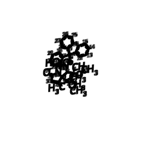 CCC[C@](C)(OC)[C@H](NSC(c1ccccc1)(c1ccccc1)c1ccccc1)[C@]1(C(C)(C)C)C=CC(=O)N1C(=O)O